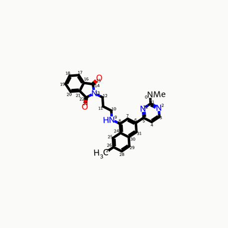 CNc1nccc(-c2cc(NCCCN3C(=O)c4ccccc4C3=O)c3cc(C)ccc3c2)n1